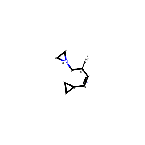 CC[C@@H](/C=C\C1CC1)CN1CC1